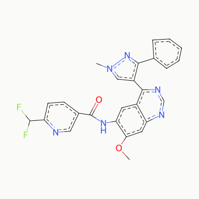 COc1cc2ncnc(-c3cn(C)nc3-c3ccccc3)c2cc1NC(=O)c1ccc(C(F)F)nc1